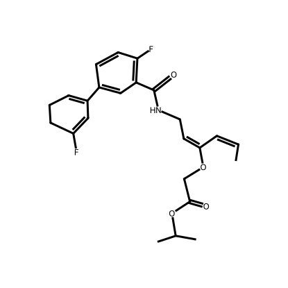 C/C=C\C(=C/CNC(=O)c1cc(C2=CCCC(F)=C2)ccc1F)OCC(=O)OC(C)C